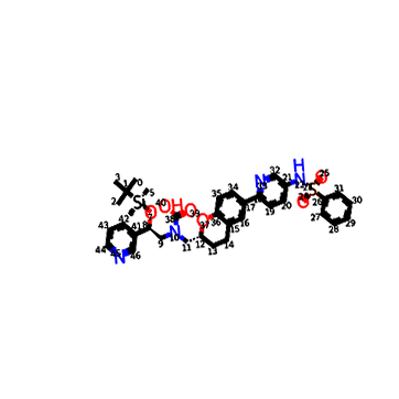 CC(C)(C)[Si](C)(C)O[C@@H](CN(C[C@H]1CCc2cc(-c3ccc(NS(=O)(=O)c4ccccc4)cn3)ccc2O1)C(=O)O)c1cccnc1